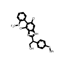 CCCSc1ccc(C(CO)c2nc3c(Cl)c(-c4ccccc4OC(F)(F)F)c(Cl)cc3[nH]2)cc1